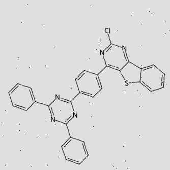 Clc1nc(-c2ccc(-c3nc(-c4ccccc4)nc(-c4ccccc4)n3)cc2)c2sc3ccccc3c2n1